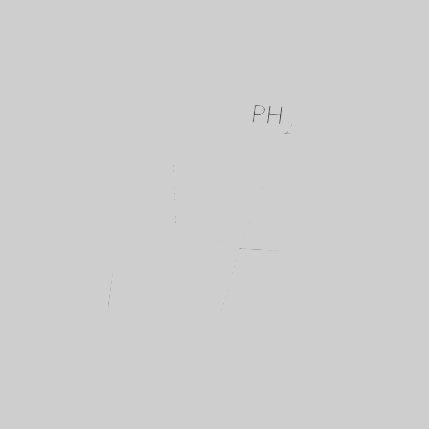 CC1=C(CP)C(C)(C)CCC1